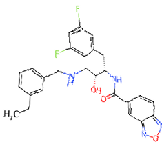 CCc1cccc(CNC[C@@H](O)[C@H](Cc2cc(F)cc(F)c2)NC(=O)c2ccc3nonc3c2)c1